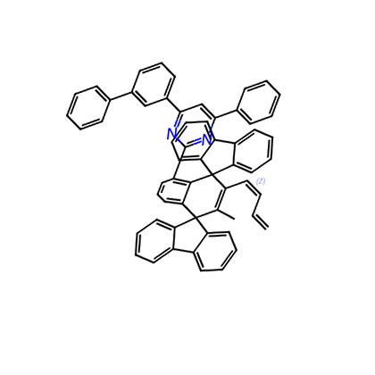 C=C/C=C\C1=C(C)C2(c3ccccc3-c3ccccc32)c2cccc(-c3nc(-c4ccccc4)cc(-c4cccc(-c5ccccc5)c4)n3)c2C12c1ccccc1-c1ccccc12